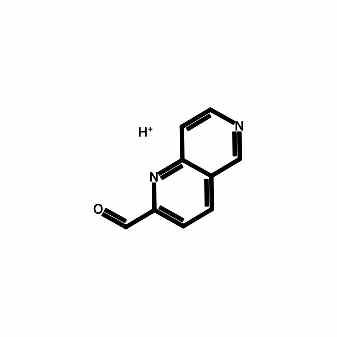 O=Cc1ccc2cnccc2n1.[H+]